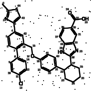 Cc1nc(-c2ccc(-c3ccc(Cl)cc3)c(COc3ccc(C4CCCCC4c4nc5cc(C(=O)O)ccc5[nH]4)cc3)c2)cs1